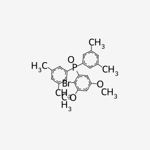 COc1cc(OC)c(Br)c(P(=O)(c2cc(C)cc(C)c2)c2cc(C)cc(C)c2)c1